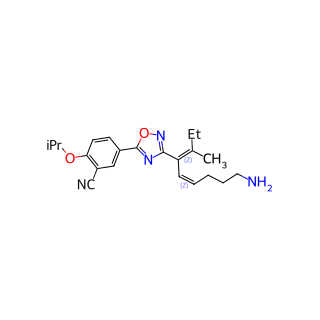 CC/C(C)=C(/C=C\CCCN)c1noc(-c2ccc(OC(C)C)c(C#N)c2)n1